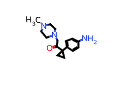 CN1CCN(CC(=O)C2(c3ccc(N)cc3)CC2)CC1